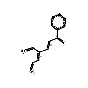 C=C/C=C(C=C)/C=C/C(=O)c1ccccc1